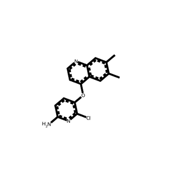 Cc1cc2nccc(Oc3ccc(N)nc3Cl)c2cc1C